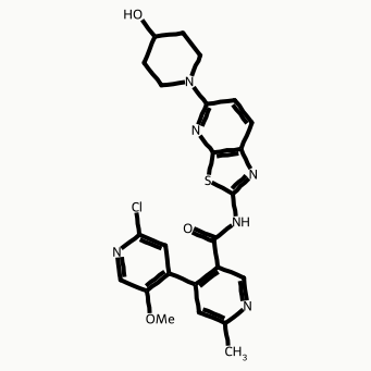 COc1cnc(Cl)cc1-c1cc(C)ncc1C(=O)Nc1nc2ccc(N3CCC(O)CC3)nc2s1